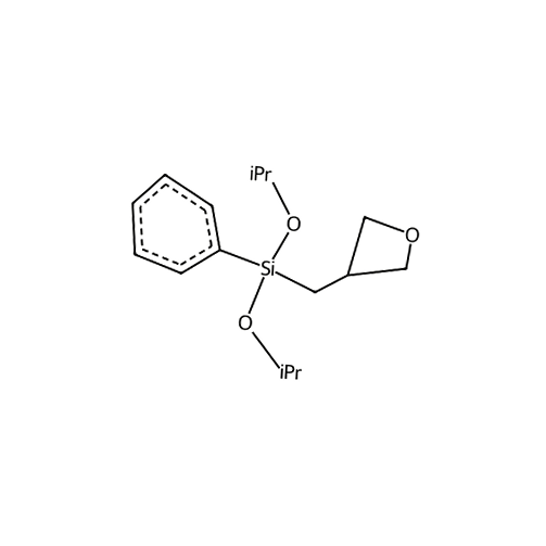 CC(C)O[Si](CC1COC1)(OC(C)C)c1ccccc1